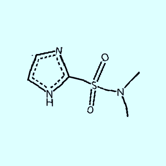 CN(C)S(=O)(=O)c1n[c]c[nH]1